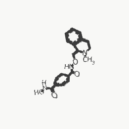 CN1CCc2ccccc2C1CONC(=O)c1ccc(C(=O)NO)cc1